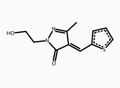 CC1=NN(CCO)C(=O)/C1=C/c1cccs1